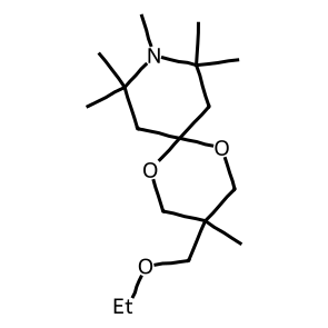 CCOCC1(C)COC2(CC(C)(C)N(C)C(C)(C)C2)OC1